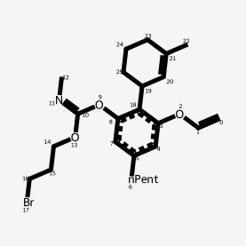 C=COc1cc(CCCCC)cc(O/C(=N\C)OCCCBr)c1C1C=C(C)CCC1